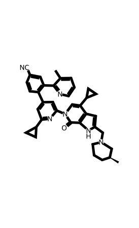 Cc1cccnc1-c1cc(C#N)ccc1-c1cc(C2CC2)nc(-n2cc(C3CC3)c3cc(CN4CCC[C@H](C)C4)[nH]c3c2=O)c1